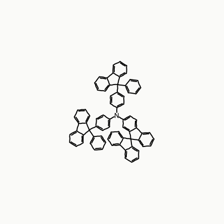 c1ccc(C2(c3ccc(N(c4ccc(C5(c6ccccc6)c6ccccc6-c6ccccc65)cc4)c4ccc5c(c4)C4(c6ccccc6-c6ccccc64)c4ccccc4-5)cc3)c3ccccc3-c3ccccc32)cc1